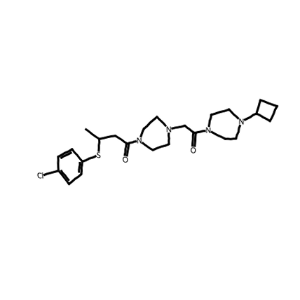 CC(CC(=O)N1CCN(CC(=O)N2CCN(C3CCC3)CC2)CC1)Sc1ccc(Cl)cc1